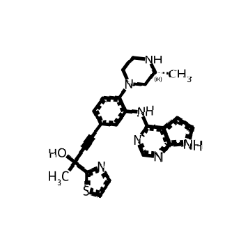 C[C@@H]1CN(c2ccc(C#CC(C)(O)c3nccs3)cc2Nc2ncnc3[nH]ccc23)CCN1